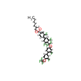 CCCCCC1COC(c2ccc(-c3cc(F)c(C(F)(F)Oc4ccc(-c5ccc(OC(F)(F)F)c(F)c5)c(F)c4)c(F)c3)c(F)c2)OC1